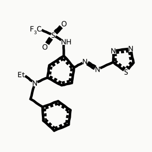 CCN(Cc1ccccc1)c1ccc(N=Nc2nncs2)c(NS(=O)(=O)C(F)(F)F)c1